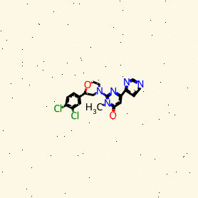 Cn1c(N2CCOC(c3ccc(Cl)c(Cl)c3)C2)nc(-c2ccncn2)cc1=O